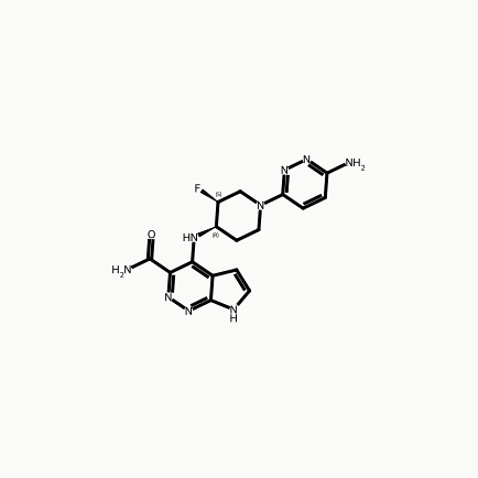 NC(=O)c1nnc2[nH]ccc2c1N[C@@H]1CCN(c2ccc(N)nn2)C[C@@H]1F